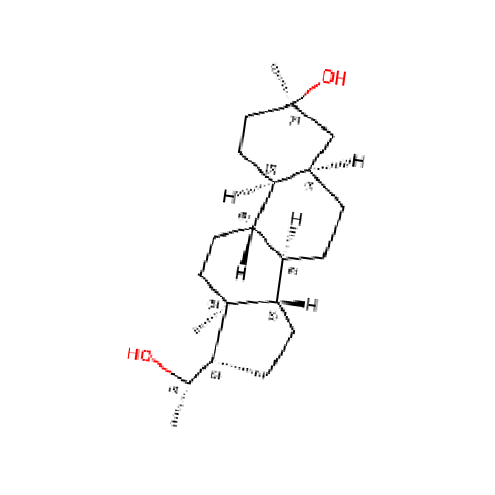 C[C@H](O)[C@H]1CC[C@H]2[C@@H]3CC[C@@H]4C[C@](C)(O)CC[C@@H]4[C@H]3CC[C@]12C